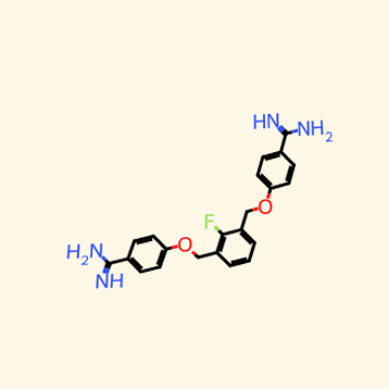 N=C(N)c1ccc(OCc2cccc(COc3ccc(C(=N)N)cc3)c2F)cc1